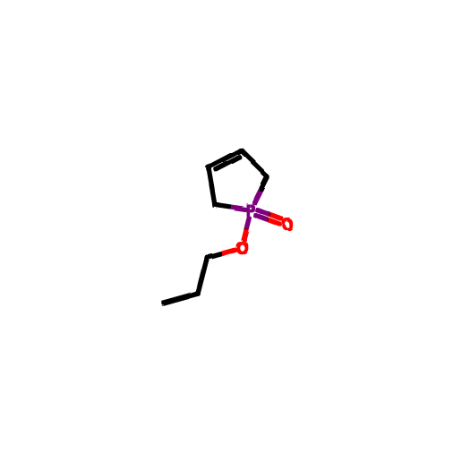 CCCOP1(=O)CC=CC1